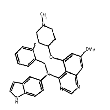 COc1cc(OC2CCN(C)CC2)c2c(N(Cc3ccccc3F)c3ccc4[nH]ccc4c3)ncnc2c1